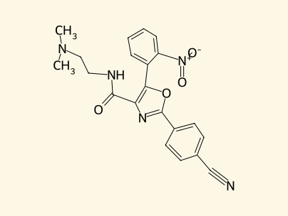 CN(C)CCNC(=O)c1nc(-c2ccc(C#N)cc2)oc1-c1ccccc1[N+](=O)[O-]